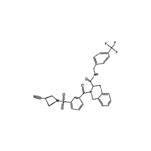 N#CC1CN(S(=O)(=O)c2cccc(C(=O)N3Cc4ccccc4CC3C(=O)NCc3ccc(C(F)(F)F)cc3)c2)C1